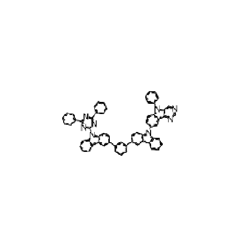 c1ccc(-c2nc(-c3ccccc3)nc(-n3c4ccccc4c4cc(-c5cccc(-c6ccc7c(c6)c6ccccc6n7-c6ccc7c(c6)c6ncncc6n7-c6ccccc6)c5)ccc43)n2)cc1